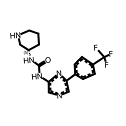 O=C(Nc1cncc(-c2ccc(C(F)(F)F)cc2)n1)N[C@H]1CCCNC1